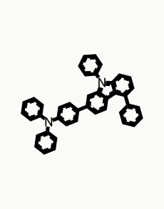 c1ccc(-c2cccc3c2c2ccc(-c4ccc(N(c5ccccc5)c5ccccc5)cc4)cc2n3-c2ccccc2)cc1